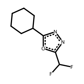 FC(F)c1nnc(C2CCCCC2)o1